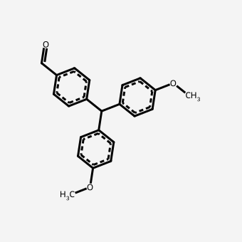 COc1ccc(C(c2ccc(C=O)cc2)c2ccc(OC)cc2)cc1